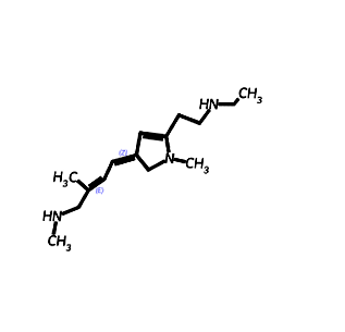 CCNCCC1=C/C(=C/C=C(\C)CNC)CN1C